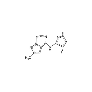 Cc1cc2c(Nc3n[nH]cc3F)nccn2n1